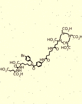 O=C(O)CC[C@@H](NC(=O)N[C@H](CCCCN(Cc1ccc(Br)cc1)C(=O)c1ccc(CNC(=O)CCCCNC(=O)CCC(C(=O)O)N2CCN(CC(=O)O)CCN(CC(=O)O)CCN(CC(=O)O)CC2)cc1)C(=O)O)C(=O)O